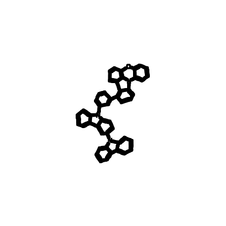 c1cc(-c2cccc3c2c2cccc4c2n3-c2ccccc2O4)cc(-n2c3ccccc3c3cc(-n4c5ccccc5c5ccccc54)ccc32)c1